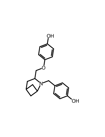 Oc1ccc(CN2C(COc3ccc(O)cc3)CC3CC2C3)cc1